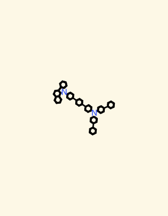 c1ccc(-c2ccc(N(c3ccc(-c4ccccc4)cc3)c3ccc(-c4ccc(-c5ccc(-n6c7ccccc7c7ccc8ccccc8c76)cc5)cc4)cc3)cc2)cc1